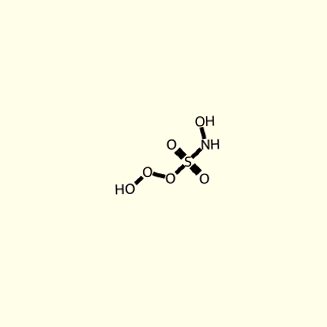 O=S(=O)(NO)OOO